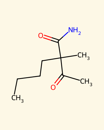 CCCCC(C)(C(C)=O)C(N)=O